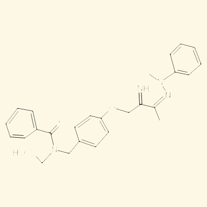 C/C(=N/N(C)c1ccccc1)C(=N)COc1ccc(CN(CC(=O)O)C(=O)c2ccccc2)cc1